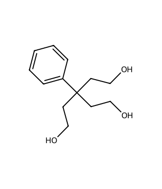 OCCC(CCO)(CCO)c1ccccc1